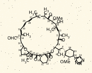 CO[C@@H]1C[C@H](C[C@@H](C)[C@@H]2CC(=O)[C@H](C)/C=C(\C)[C@@H](O)[C@@H](OC)C(=O)[C@H](C)C[C@H](C)/C=C/C=C/C=C(\C)[C@@H](C=O)CC3CC[C@@H](C)[C@@](O)(O3)C(=O)C(=O)N3CCCC[C@H]3C(=O)O2)CC[C@@H]1n1cnnn1